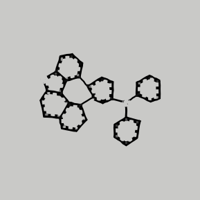 c1ccc(N(c2ccccc2)c2ccc3c(c2)-c2cccc4ccc5oc6cccc-3c6c5c24)cc1